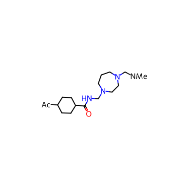 CNCN1CCCN(CNC(=O)C2CCC(C(C)=O)CC2)CC1